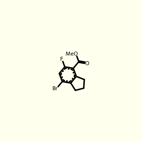 COC(=O)c1c(F)cc(Br)c2c1CCC2